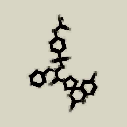 CC(=O)Nc1ccc(S(=O)(=O)N[C@@H](Cc2ccccc2)C(=O)N2CCC3(C2)OC(=O)Nc2ccc(Cl)cc23)cc1